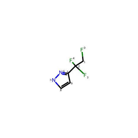 FCC(F)(F)C1=N[N]C=C1